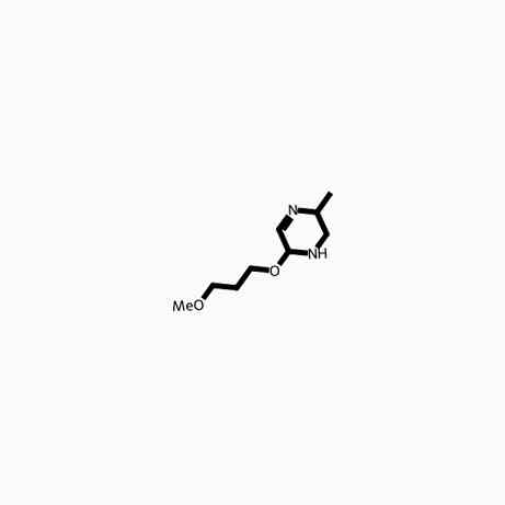 COCCCOC1C=NC(C)CN1